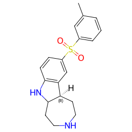 Cc1cccc(S(=O)(=O)c2ccc3c(c2)[C@H]2CCNCCC2N3)c1